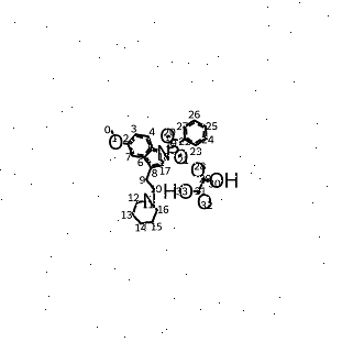 COc1ccc2c(c1)c(CCN1CCCCC1)cn2S(=O)(=O)c1ccccc1.O=C(O)C(=O)O